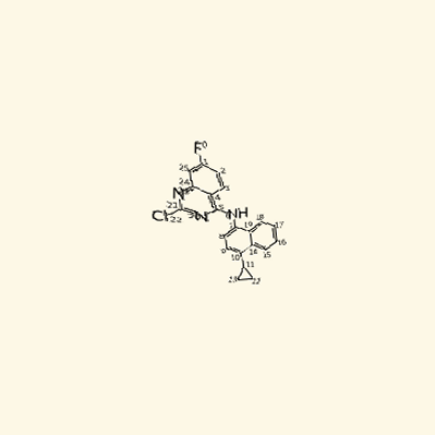 Fc1ccc2c(Nc3ccc(C4CC4)c4ccccc34)nc(Cl)nc2c1